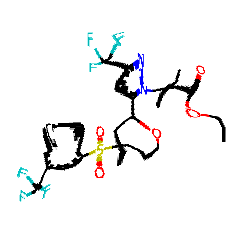 CCOC(=O)C(C)(C)n1nc(C(F)(F)F)cc1C1CC(C)(S(=O)(=O)c2cccc(C(F)(F)F)c2)CCO1